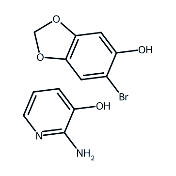 Nc1ncccc1O.Oc1cc2c(cc1Br)OCO2